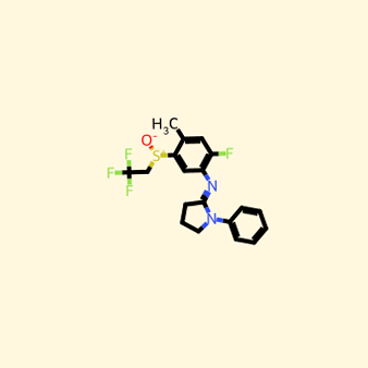 Cc1cc(F)c(/N=C2\CCCN2c2ccccc2)cc1[S+]([O-])CC(F)(F)F